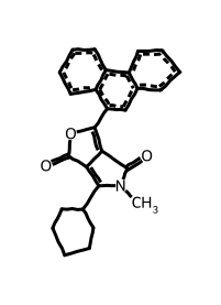 CN1C(=O)C2=C(c3cc4ccccc4c4ccccc34)OC(=O)C2=C1C1CCCCC1